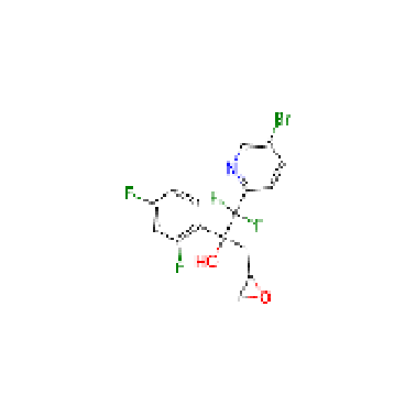 OC(CC1CO1)(c1ccc(F)cc1F)C(F)(F)c1ccc(Br)cn1